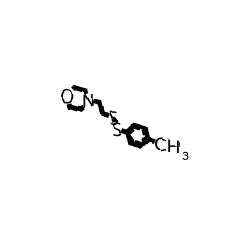 Cc1ccc(SSCCN2CCOCC2)cc1